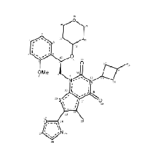 COc1ccccc1[C@H](Cn1c(=O)n(C2CC(C)C2)c(=O)c2c(C)c(-c3ncco3)sc21)OC1CCOCC1